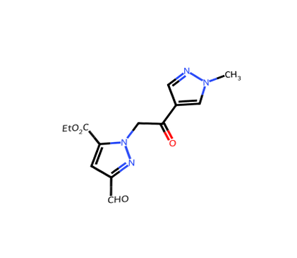 CCOC(=O)c1cc(C=O)nn1CC(=O)c1cnn(C)c1